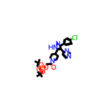 CC(C)(C)OP(=O)(OCC(=O)N1CCC(c2[nH]nc(-c3ccc(Cl)cc3)c2-c2ccncn2)CC1)OC(C)(C)C